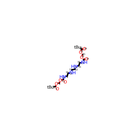 CC(C)(C)C(=O)OCOC(=O)NCCNCCNCCNC(=O)OCOC(=O)C(C)(C)C